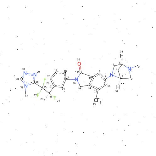 CN1C[C@@H]2C[C@H]1CN2c1cc2c(c(C(F)(F)F)c1)CN(c1cccc([C@@](C)(F)C(F)(F)c3nncn3C)c1)C2=O